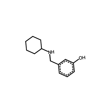 Oc1cccc(CNC2CCCCC2)c1